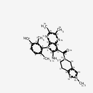 Cc1ccc(O)c(C)c1-n1c(N)c(C(=O)N2CCc3nn(C)cc3C2)c2nc(C)c(C)nc21